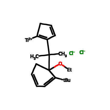 CCOC1(C(C)(C)C2=[C]([Ti+2])CC=C2)CC=CC=C1C(C)(C)C.[Cl-].[Cl-]